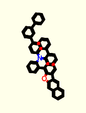 c1ccc(-c2cccc(-c3ccc(N(c4ccccc4-c4ccccc4)c4ccccc4-c4cccc5c4oc4cc6ccccc6cc45)cc3)c2)cc1